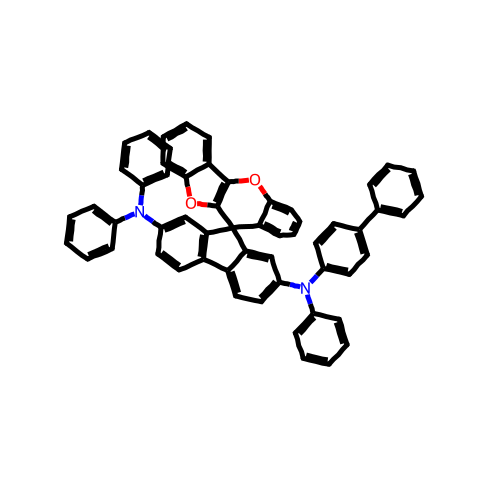 c1ccc(-c2ccc(N(c3ccccc3)c3ccc4c(c3)C3(c5ccccc5Oc5c3oc3ccccc53)c3cc(N(c5ccccc5)c5ccccc5)ccc3-4)cc2)cc1